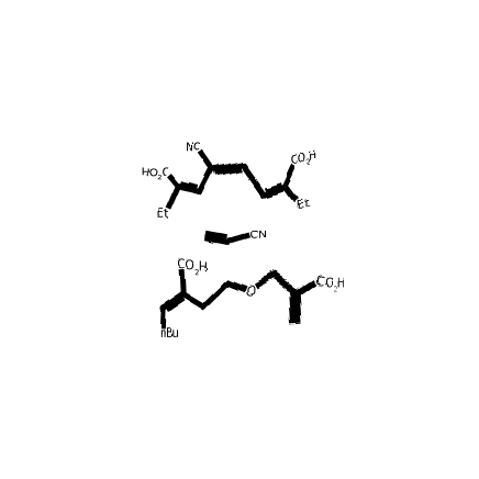 C=C(COCCC(=CCCCC)C(=O)O)C(=O)O.C=CC#N.CCC(=CC=C(C#N)C=C(CC)C(=O)O)C(=O)O